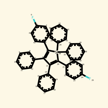 Fc1ccc(C2=C(c3ccccc3)C(c3ccccc3)=C(c3ccc(F)cc3)[Si]2(c2ccccc2)c2ccccc2)cc1